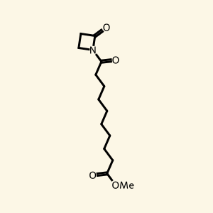 COC(=O)CCCCCCCCC(=O)N1CCC1=O